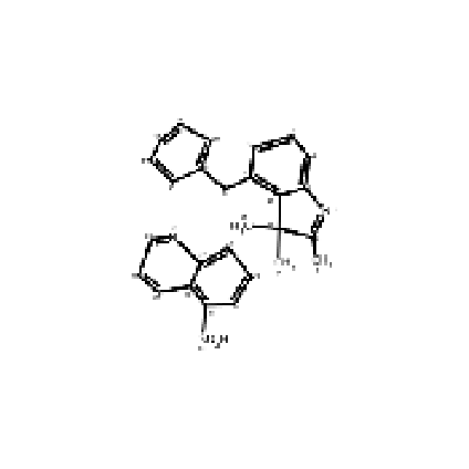 CC1=Nc2cccc(Cc3ccccc3)c2C1(C)C.O=S(=O)(O)c1cccc2ncccc12